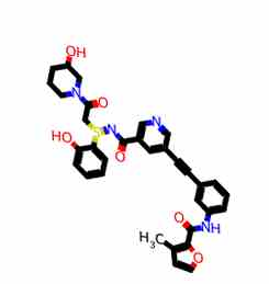 Cc1ccoc1C(=O)Nc1cccc(C#Cc2cncc(C(=O)N=S(CC(=O)N3CCCC(O)C3)c3ccccc3O)c2)c1